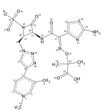 Cc1c[n+](C)ccc1-c1cn(C[C@@H]2[C@H](NC(=O)C(=NOC(C)(C)C(=O)O)c3csc(N)n3)C(=O)N2S(=O)(=O)[O-])nn1